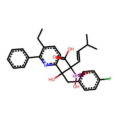 CCc1ccc(C(O)(Cc2ccc(F)cc2)C(C=CC(C)C)(C(=O)O)[PH](=O)O)nc1-c1ccccc1